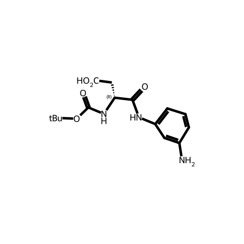 CC(C)(C)OC(=O)N[C@H](CC(=O)O)C(=O)Nc1cccc(N)c1